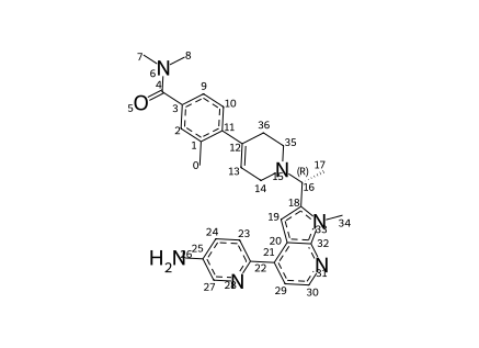 Cc1cc(C(=O)N(C)C)ccc1C1=CCN([C@H](C)c2cc3c(-c4ccc(N)cn4)ccnc3n2C)CC1